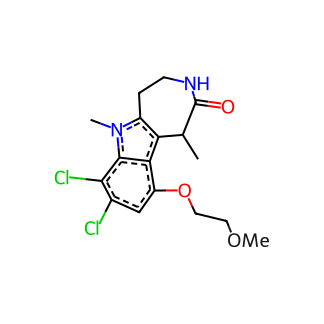 COCCOc1cc(Cl)c(Cl)c2c1c1c(n2C)CCNC(=O)C1C